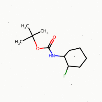 CC(C)(C)OC(=O)NC1CCCCC1F